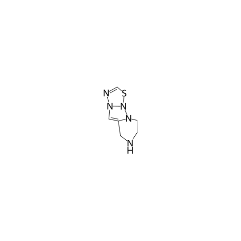 C1=NN2C=C3CNCCN3N2S1